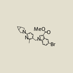 COC(=O)c1cn(Cc2ccc(N3CC4CC4C3)nc2C)c2ccc(Br)cc12